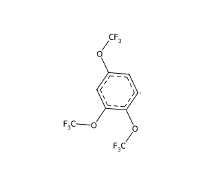 FC(F)(F)Oc1c[c]c(OC(F)(F)F)c(OC(F)(F)F)c1